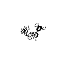 CC(Cn1cnc2c(N)ncnc21)OCP1(=O)OCC[C@@H](c2cc(Cl)cc(Cl)c2)O1